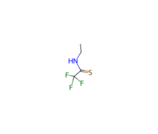 CCNC(=S)C(F)(F)F